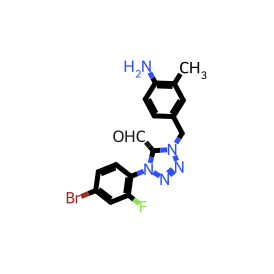 Cc1cc(CN2N=NN(c3ccc(Br)cc3F)C2C=O)ccc1N